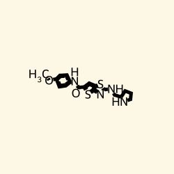 COc1ccc(NC(=O)c2cc3sc(NCC4CCCN4)nc3s2)cc1